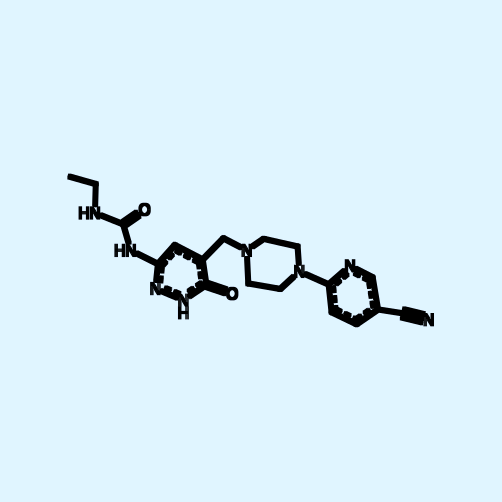 CCNC(=O)Nc1cc(CN2CCN(c3ccc(C#N)cn3)CC2)c(=O)[nH]n1